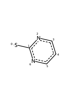 [S]c1ncccn1